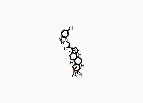 COCC[C@]12CC[C@@](C)(O)C[C@@H]1CC[C@H]1[C@@H]3CC[C@H](C(=O)Cn4nnc5ccc(Cl)cc54)[C@@]3(C)CC[C@@H]12